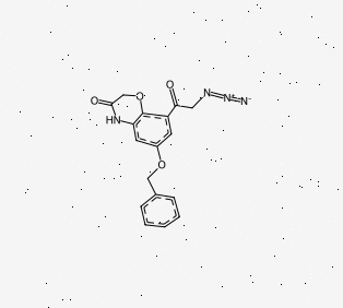 [N-]=[N+]=NCC(=O)c1cc(OCc2ccccc2)cc2c1OCC(=O)N2